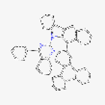 c1ccc(-c2nc(-n3c4ccccc4c4cc5ccccc5c(-c5ccc6c7ccccc7c7ccccc7c6c5)c43)nc3ccccc23)cc1